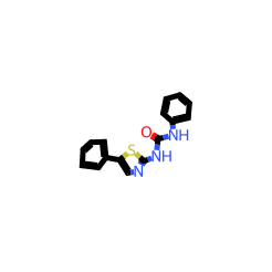 O=C(Nc1ccccc1)Nc1ncc(-c2ccccc2)s1